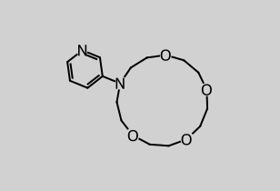 c1cncc(N2CCOCCOCCOCCOCC2)c1